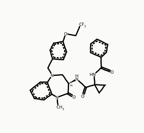 CN1C(=O)[C@H](NC(=O)C2(NC(=O)c3ccccc3)CC2)CN(Cc2ccc(OCC(F)(F)F)cc2)c2ccccc21